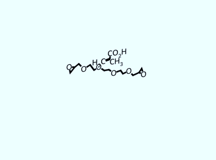 C(COCCOCC1CO1)OCCOCC1CO1.C=C(C)C(=O)O